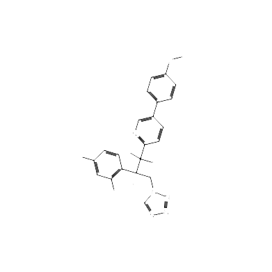 O[C@](Cn1cnnn1)(c1ccc(F)cc1F)C(F)(F)c1ccc(-c2ccc(OC(F)(F)F)cc2)cn1